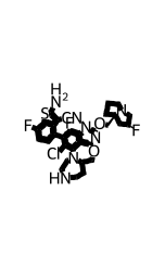 N#Cc1c(N)sc2c(F)ccc(-c3c(Cl)c4c5c(nc(OC[C@@]67CCCN6C[C@H](F)C7)nc5c3F)OCC3CCNCCN43)c12